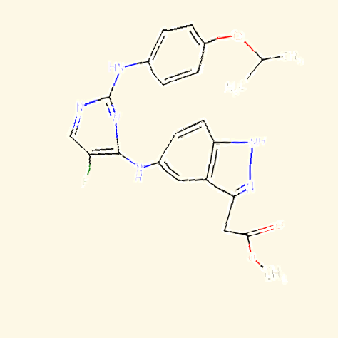 COC(=O)Cc1n[nH]c2ccc(Nc3nc(Nc4ccc(OC(C)C)cc4)ncc3F)cc12